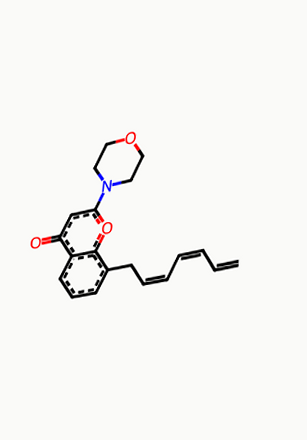 C=C/C=C\C=C/Cc1cccc2c(=O)cc(N3CCOCC3)oc12